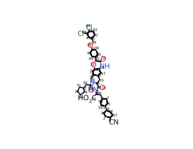 N#Cc1ccc(-c2ccc(C[C@H](NC(=O)C3Cc4cc5c(cc4CN3C(=O)CC3CCCC3)OC(c3ccc(OCc4ccc(Cl)c(Cl)c4)cc3)C(=O)N5)C(=O)O)cc2)cc1